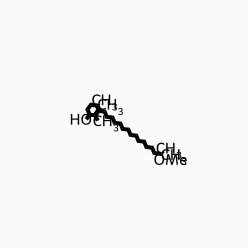 COC(C)(C)CCCCCCCCCCCCCCC1=C(C)C(O)CCC1(C)C